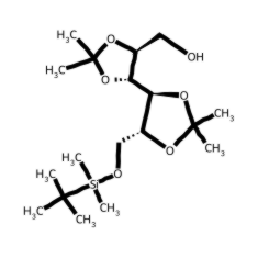 CC1(C)O[C@@H]([C@H]2OC(C)(C)O[C@@H]2CO[Si](C)(C)C(C)(C)C)[C@H](CO)O1